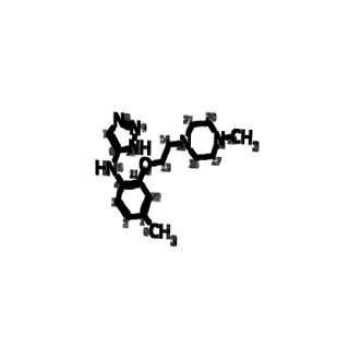 Cc1ccc(Nc2cnn[nH]2)c(OCCN2CCN(C)CC2)c1